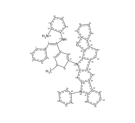 CC1C=C(/C(=C\c2ccccc2)Nc2ccccc2N)C=C(n2c3cc4c(cc3c3ccc5c6ccccc6oc5c32)c2ccccc2n4-c2ccccc2)C1